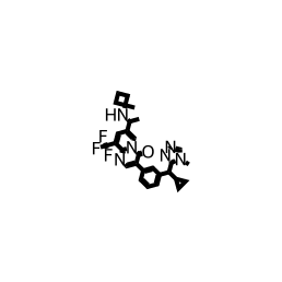 CC(NC1(C)CCC1)c1cc(C(F)(F)F)c2ncc(-c3cccc(C(c4nncn4C)C4CC4)c3)c(=O)n2c1